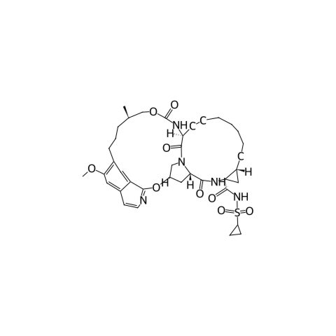 COc1cc2ccnc3c2cc1CCC[C@@H](C)COC(=O)N[C@H]1CCCCCCC[C@@H]2C[C@@]2(C(=O)NS(=O)(=O)C2CC2)NC(=O)[C@@H]2C[C@H](CN2C1=O)O3